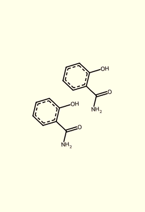 NC(=O)c1ccccc1O.NC(=O)c1ccccc1O